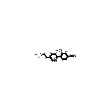 N#Cc1ccc(-c2ccc(CCN)cn2)c(O)c1